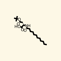 CCCCCCCCCCCC(=O)N[C@@H](CC(=O)OC(C)(C)C)C(=O)O